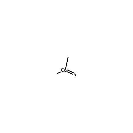 [CH3][Co]([CH3])=[S]